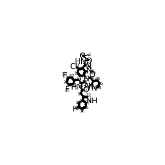 Cn1nc(NS(C)(=O)=O)c2c(Cl)ccc(-n3c([C@H](Cc4cc(F)cc(F)c4)NC(=O)Cc4c[nH]c5ccc(F)cc45)nc4ncccc4c3=O)c21